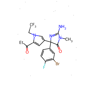 CCC(=O)c1cc(C2(c3ccc(F)c(Br)c3)N=C(N)N(C)C2=O)cn1CC(F)(F)F